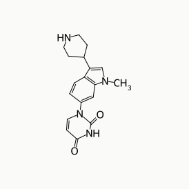 Cn1cc(C2CCNCC2)c2ccc(-n3ccc(=O)[nH]c3=O)cc21